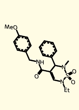 CCN1C=C(C(=O)NCc2ccc(OC)cc2)C(c2ccccc2)N(C)S1(=O)=O